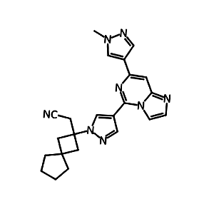 Cn1cc(-c2cc3nccn3c(-c3cnn(C4(CC#N)CC5(CCCC5)C4)c3)n2)cn1